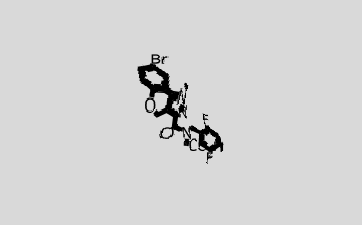 Cn1nc(C(=O)N(CC(=O)O)Cc2cc(F)ccc2F)c2c1-c1cc(Br)ccc1OC2